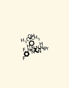 CC(C)Nc1ncc2nc(Nc3ccc(F)cc3F)n([C@H]3CC[C@@H](C(C)(C)O)CC3)c2n1